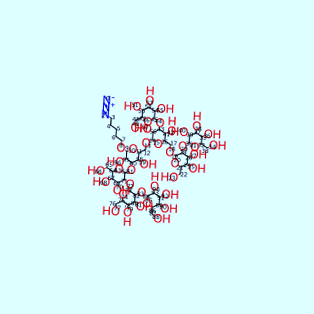 [N-]=[N+]=NCCCCCOC1OC(COC2OC(COC3OC(CO)C(O)C(O)C3OC3OC(CO)C(O)C(O)C3O)C(O)C(OC3OC(CO)C(O)C(O)C3O)C2O)C(O)C(OC2OC(CO)C(O)C(O)C2OC2OC(CO)C(O)C(O)C2OC2OC(CO)C(O)C(O)C2O)C1O